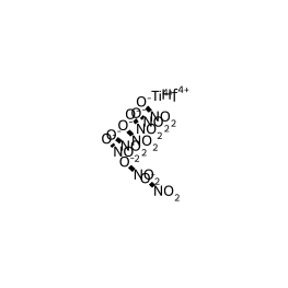 O=[N+]([O-])[O-].O=[N+]([O-])[O-].O=[N+]([O-])[O-].O=[N+]([O-])[O-].O=[N+]([O-])[O-].O=[N+]([O-])[O-].O=[N+]([O-])[O-].O=[N+]([O-])[O-].[Hf+4].[Ti+4]